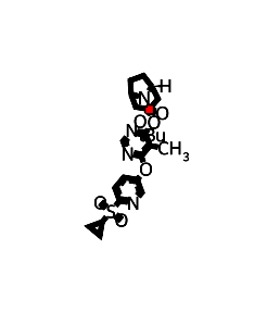 Cc1c(Oc2ccc(S(=O)(=O)C3CC3)nc2)ncnc1OC1CC2CC[C@@H](C1)N2C(=O)OC(C)(C)C